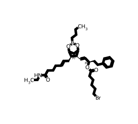 CCCCB1OC2CC(O1)[C@H](CC=CCCCC(=O)NCC)[C@H]2C=C[C@@H](CCc1ccccc1)OC(=O)CCCCCBr